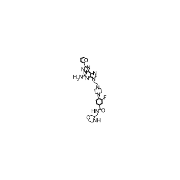 Nc1nc2c(ncn2CCN2CCN(c3ccc(C(=O)NCC4COCCN4)cc3F)CC2)c2nc(-c3ccco3)nn12